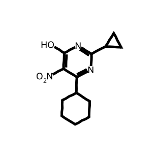 O=[N+]([O-])c1c(O)nc(C2CC2)nc1C1CCCCC1